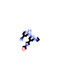 N#Cc1ccnc(Nc2cc(C3CN(C4COC4)C3)cc(N3CCC3)n2)c1